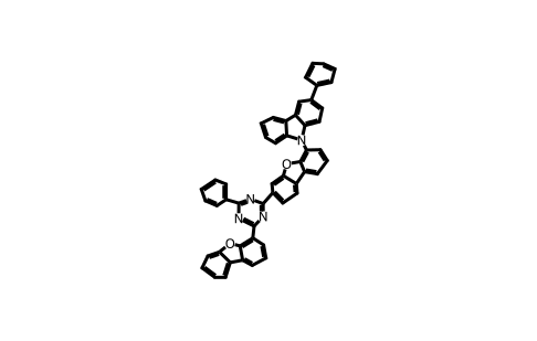 c1ccc(-c2ccc3c(c2)c2ccccc2n3-c2cccc3c2oc2cc(-c4nc(-c5ccccc5)nc(-c5cccc6c5oc5ccccc56)n4)ccc23)cc1